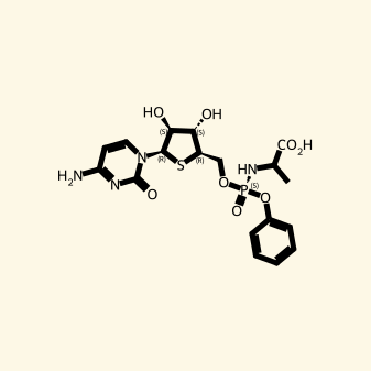 CC(N[P@](=O)(OC[C@H]1S[C@@H](n2ccc(N)nc2=O)[C@@H](O)[C@@H]1O)Oc1ccccc1)C(=O)O